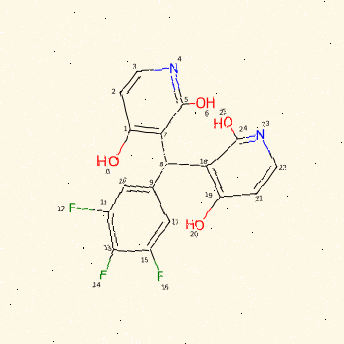 Oc1ccnc(O)c1C(c1cc(F)c(F)c(F)c1)c1c(O)ccnc1O